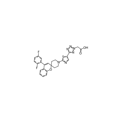 O=C(O)Cn1nnc(-c2cnc(N3CCC4(C=C(c5cc(F)ccc5F)c5ccccc5O4)CC3)s2)n1